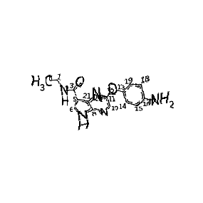 CCNC(=O)c1c[nH]c2ncc(Oc3ccc(N)cc3)nc12